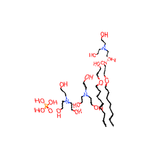 CCCCCCCCOCCO.CCCCCCCCOCCO.O=P(O)(O)O.OCCN(CCO)CCO.OCCN(CCO)CCO.OCCN(CCO)CCO